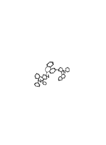 O=c1c2cnc(C3CCc4ccccc4-c4cc(-c5ccc6c(c5)c5c7ccccc7ccc5n6-c5ccccc5)ccc43)cc2c2ccccc2n1-c1ccccc1